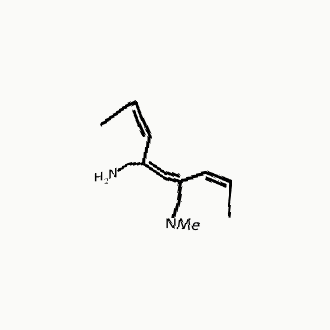 C\C=C/C(N)=C(\C=C/C)NC